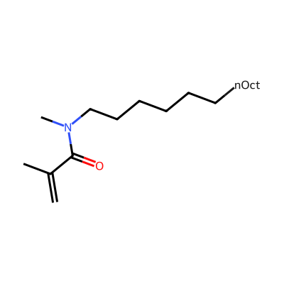 C=C(C)C(=O)N(C)CCCCCCCCCCCCCC